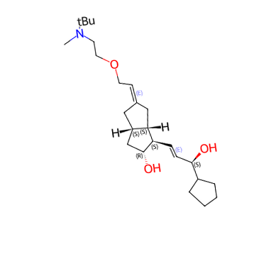 CN(CCOC/C=C1\C[C@H]2C[C@@H](O)[C@H](/C=C/[C@@H](O)C3CCCC3)[C@H]2C1)C(C)(C)C